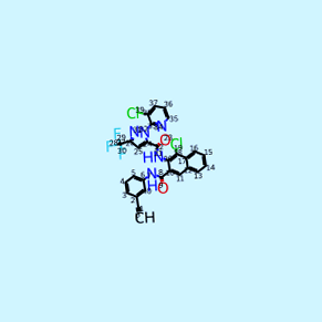 C#Cc1cccc(NC(=O)c2cc3ccccc3c(Cl)c2NC(=O)c2cc(C(F)(F)F)nn2-c2ncccc2Cl)c1